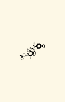 COc1ccc(NC2=N[C@@H]3[C@@H](C)[C@H](C)[C@@H](COC(C)=O)O[C@@H]3S2)cc1